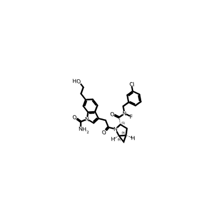 NC(=O)n1cc(CC(=O)N2[C@@H]3C[C@@H]3C[C@H]2C(=O)N(F)Cc2cccc(Cl)c2)c2ccc(CCO)cc21